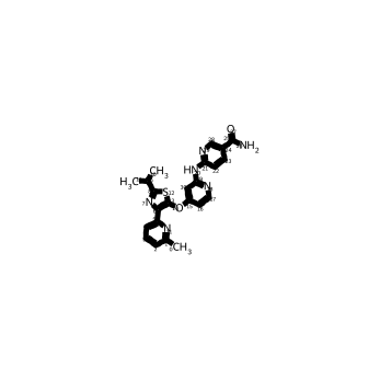 Cc1cccc(-c2nc(C(C)C)sc2Oc2ccnc(Nc3ccc(C(N)=O)cn3)c2)n1